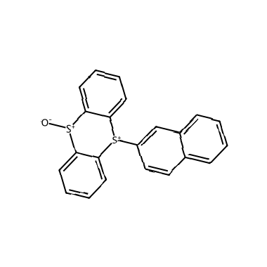 [O-][S+]1c2ccccc2[S+](c2ccc3ccccc3c2)c2ccccc21